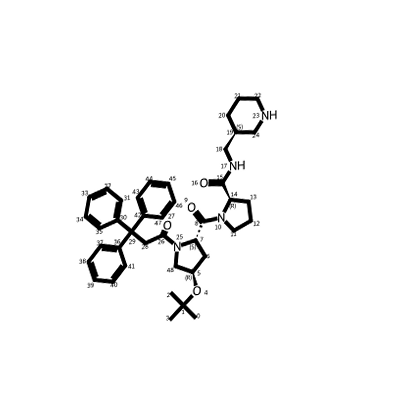 CC(C)(C)O[C@@H]1C[C@@H](C(=O)N2CCC[C@@H]2C(=O)NC[C@H]2CCCNC2)N(C(=O)CC(c2ccccc2)(c2ccccc2)c2ccccc2)C1